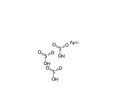 O=[S-](=O)O.O=[S-](=O)O.O=[S-](=O)O.[Fe+3]